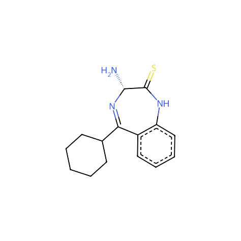 N[C@H]1N=C(C2CCCCC2)c2ccccc2NC1=S